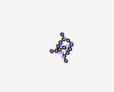 N#Cc1cccc(-c2cc(-n3c4cc(-c5ccnc(-c6ccccc6)c5)ccc4c4ccc(-c5ccnc(-c6ccccc6)c5)cc43)c(C(F)(F)F)cc2-n2c3cc(-c4ccnc(-c5ccccc5)c4)ccc3c3ccc(-c4ccnc(-c5ccccc5)c4)cc32)c1